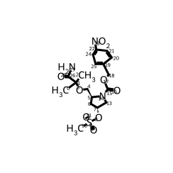 CC(C)(OC[C@@H]1C[C@@H](OS(C)(=O)=O)CN1C(=O)OCc1ccc([N+](=O)[O-])cc1)C(N)=O